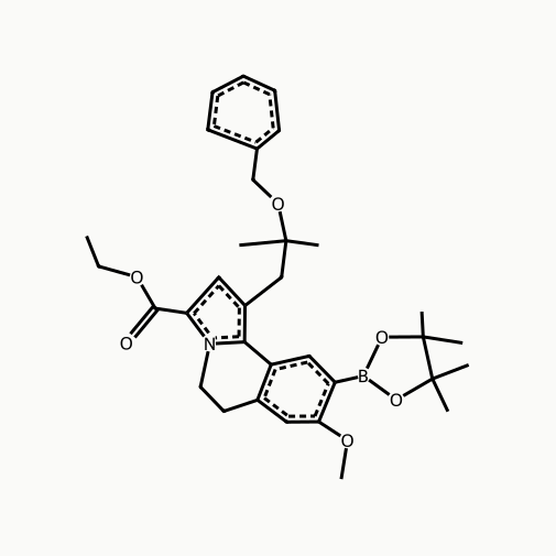 CCOC(=O)c1cc(CC(C)(C)OCc2ccccc2)c2n1CCc1cc(OC)c(B3OC(C)(C)C(C)(C)O3)cc1-2